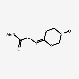 CNC(=O)ON=C1SC[S+]([O-])CS1